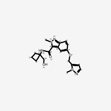 Cn1nccc1COc1ccc2nn(C)c(C(=O)NC3(CO)CCC3)c2c1